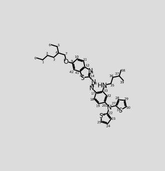 CCCCC(CC)COc1ccc2nc(N=Nc3ccc(N(c4cccs4)c4cccs4)cc3NCCC(C)C)sc2c1